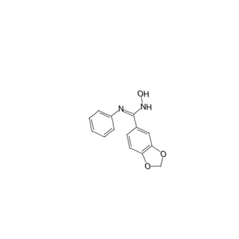 ON/C(=N/c1ccccc1)c1ccc2c(c1)OCO2